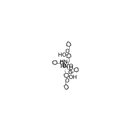 O=C(N[C@@H](Cc1ccc(OCc2ccccc2)c(O)c1)C(=O)N[C@@H](Cc1ccc(OCc2ccccc2)c(O)c1)C(=O)OCc1ccccc1)OCc1ccccc1